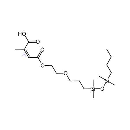 CCCC[Si](C)(C)O[Si](C)(C)CCCOCCOC(=O)/C=C(/C)C(=O)O